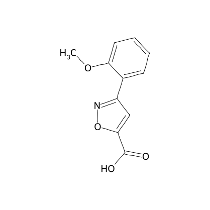 COc1ccccc1-c1cc(C(=O)O)on1